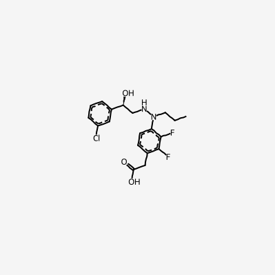 CCCN(NC[C@H](O)c1cccc(Cl)c1)c1ccc(CC(=O)O)c(F)c1F